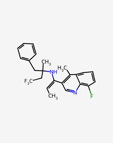 C/C=C(/NC(C)(Cc1ccccc1)CC(F)(F)F)c1cnc2c(F)cccc2c1C